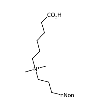 CCCCCCCCCCCC[N+](C)(C)CCCCCC(=O)O